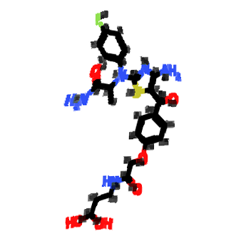 CC(C(N)=O)N(c1ccc(F)cc1)c1nc(N)c(C(=O)c2ccc(OCC(=O)NCCC(O)O)cc2)s1